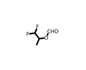 CC(O[C]=O)C(F)F